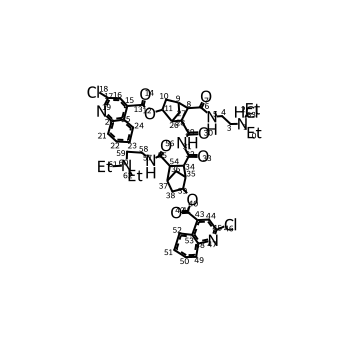 CCN(CC)CCNC(=O)C1C2CC(OC(=O)c3cc(Cl)nc4ccccc34)C(C2)C1C(=O)NC(=O)C1C2CC(CC2OC(=O)c2cc(Cl)nc3ccccc23)C1C(=O)NCCN(CC)CC.Cl